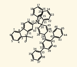 CC1(C)c2ccccc2-c2ccc(N(c3ccccc3)C3(c4ccccc4)C=CC(c4cc(-c5ccccc5)ccc4-c4ccccc4)C=C3)cc21